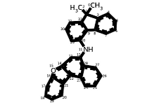 CC1(C)c2ccccc2-c2c(Nc3cc4oc5ccccc5c4c4ccccc34)cccc21